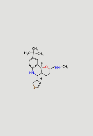 CNC[C@H]1CC[C@@H]2[C@H](O1)c1cc(C(C)(C)C)ccc1N[C@H]2C1C=CSC1